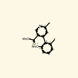 COC(=O)c1cnc(C)cc1-c1c(C)cccc1OC